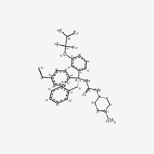 CN1CCC(NC(=O)N[C@](Cc2ccccc2)(c2cccc(OC(F)(F)C(F)F)c2)c2ccc(CI)cn2)CC1